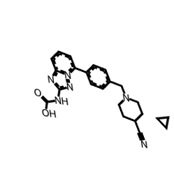 C1CC1.N#CC1CCN(Cc2ccc(-c3cccc4nc(NC(=O)O)nn34)cc2)CC1